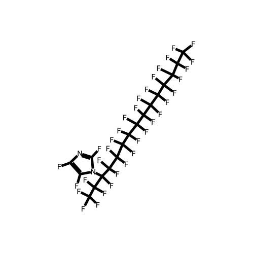 Fc1nc(F)n(C(F)(C(F)(F)C(F)(F)F)C(F)(F)C(F)(F)C(F)(F)C(F)(F)C(F)(F)C(F)(F)C(F)(F)C(F)(F)C(F)(F)C(F)(F)C(F)(F)C(F)(F)F)c1F